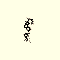 CC1=NC(=O)c2oc3ccc4nc(Oc5ccnc(S(C)(=O)=O)n5)ccc4c3c2NC1